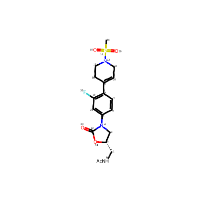 CC(=O)NC[C@H]1CN(c2ccc(C3=CCN(S(C)(=O)=O)CC3)c(F)c2)C(=O)O1